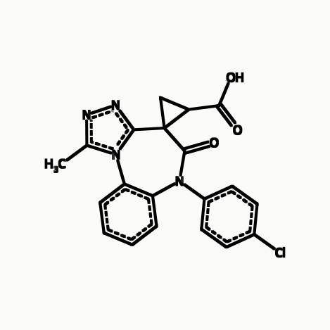 Cc1nnc2n1-c1ccccc1N(c1ccc(Cl)cc1)C(=O)C21CC1C(=O)O